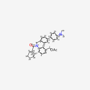 CC(=O)OCc1cccc(N(Cc2ccc(-c3ccc(N(C)C)cc3)cc2)C(=O)C2CC3CCC2C3)c1